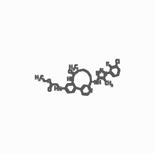 CCOC(=O)CNc1ccc2c(c1)NC(=O)[C@H](C)CCC[C@H](Nc1nnn(-c3cccc(Cl)c3F)c1C)c1cc-2ccn1